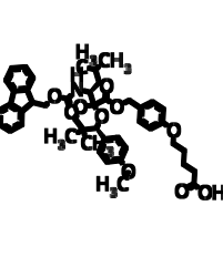 COc1ccc([C@@H]2OC(C(=O)OCc3ccc(OCCCCC(=O)O)cc3)([C@H](CC(C)C)NC(=O)OCC3c4ccccc4-c4ccccc43)OCC2(C)C)cc1